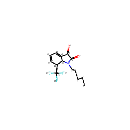 CCCCCN1C(=O)C(=O)C2=CC=CC(C(F)(F)F)C21